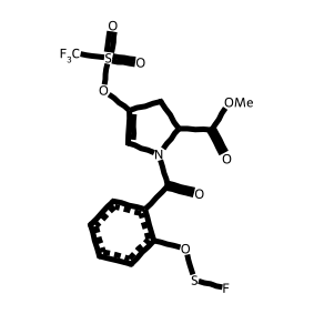 COC(=O)C1CC(OS(=O)(=O)C(F)(F)F)=CN1C(=O)c1ccccc1OSF